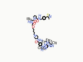 CCC(CC)N1c2nc(Nc3ccc(C(=O)NC4CCN(CCCCCOCC(=O)NC(C(=O)N5CCCC5C(=O)NCc5ccc(-c6scnc6C)cc5)C(C)(C)C)CC4)cc3OC)ncc2-n2cnc(C#N)c2C1CC